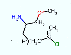 CCC(N)[SiH2]OC.C[SiH](C)Cl